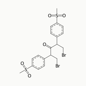 CS(=O)(=O)c1ccc(C(CBr)C(=O)C(CBr)c2ccc(S(C)(=O)=O)cc2)cc1